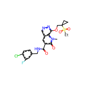 CCS(=O)(=O)C1(COc2nncc3cc(C(=O)NCc4ccc(Cl)c(F)c4)c(=O)n(C)c23)CC1